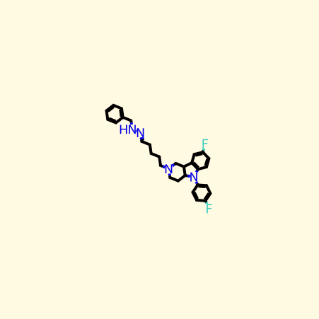 Fc1ccc(N2c3ccc(F)cc3C3CN(CCCCC=NNCc4ccccc4)CCC32)cc1